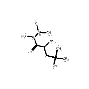 CN(C(=O)C(N)CC(C)(C)C)[S+](C)[O-]